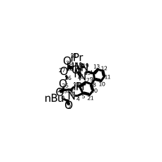 CCCCC(=O)N(Cc1ccc(-c2ccccc2-c2nn[nH]n2)cc1)C(C(=O)OCOC(=O)OC(C)C)C(C)C